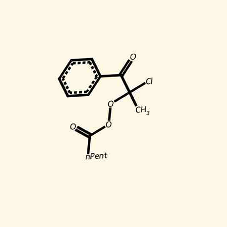 CCCCCC(=O)OOC(C)(Cl)C(=O)c1ccccc1